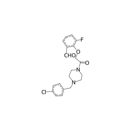 O=Cc1cccc(F)c1OCC(=O)N1CCN(Cc2ccc(Cl)cc2)CC1